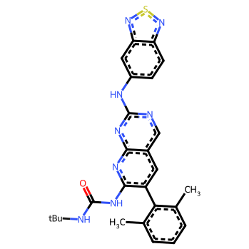 Cc1cccc(C)c1-c1cc2cnc(Nc3ccc4nsnc4c3)nc2nc1NC(=O)NC(C)(C)C